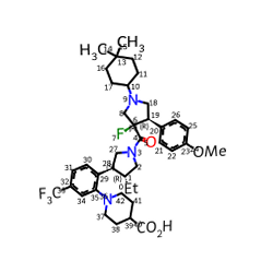 CC[C@H]1CN(C(=O)[C@]2(F)CN(C3CCC(C)(C)CC3)C[C@H]2c2ccc(OC)cc2)C[C@@H]1c1ccc(C(F)(F)F)cc1N1CCC(C(=O)O)CC1